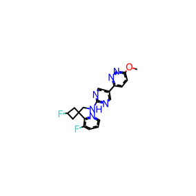 COc1ccc(-c2cnc(NCC3(c4ncccc4F)CC(F)C3)nc2)nn1